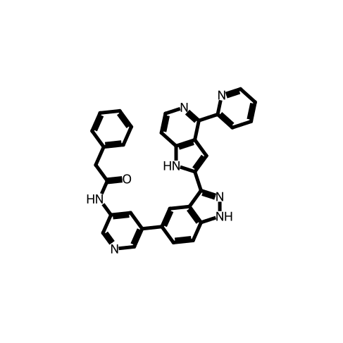 O=C(Cc1ccccc1)Nc1cncc(-c2ccc3[nH]nc(-c4cc5c(-c6ccccn6)nccc5[nH]4)c3c2)c1